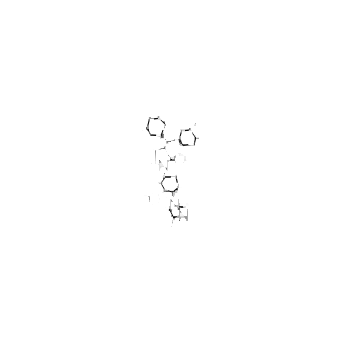 COc1cc(N2CCC(C(c3ccccc3)c3ccccc3)C2=O)ccc1-n1cnc(C)c1